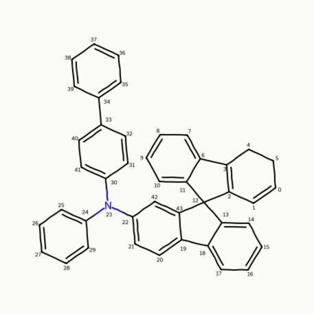 C1=CC2=C(CC1)c1ccccc1C21c2ccccc2-c2ccc(N(c3ccccc3)c3ccc(-c4ccccc4)cc3)cc21